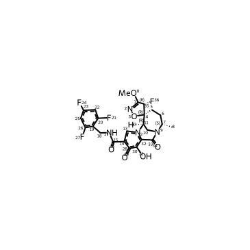 COC1=NO[C@@]2(CC[C@H](C)N3C[C@H]2n2cc(C(=O)NCc4c(F)cc(F)cc4F)c(=O)c(O)c2C3=O)[C@H]1F